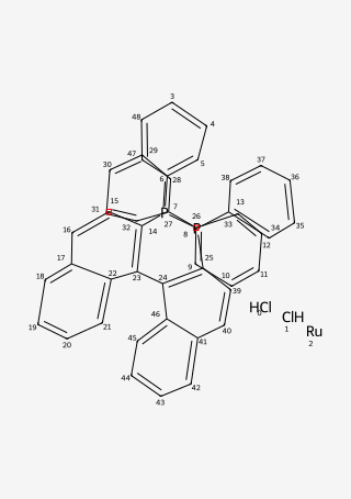 Cl.Cl.[Ru].c1ccc(P(c2ccccc2)c2ccc3ccccc3c2-c2c(P(c3ccccc3)c3ccccc3)ccc3ccccc23)cc1